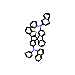 c1ccc(N(c2ccc3c(c2)C2(c4ccccc4-3)c3cc(N(c4ccccc4)c4cccc5ccccc45)ccc3-c3c2sc2ccccc32)c2ccc3ccccc3c2)cc1